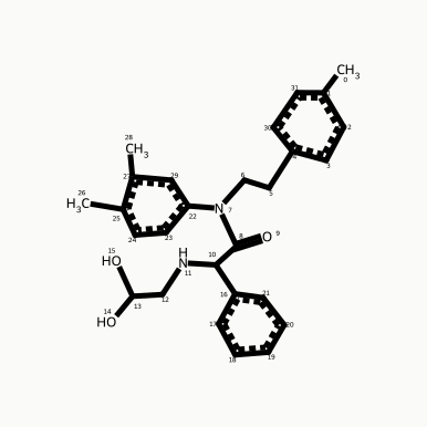 Cc1ccc(CCN(C(=O)C(NCC(O)O)c2ccccc2)c2ccc(C)c(C)c2)cc1